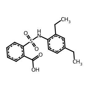 CCc1ccc(NS(=O)(=O)c2ccccc2C(=O)O)c(CC)c1